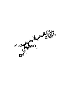 COc1cc(COC(=O)CCCC[Si](OC)(OC)OC)c([N+](=O)[O-])cc1O[CH2][Rf]